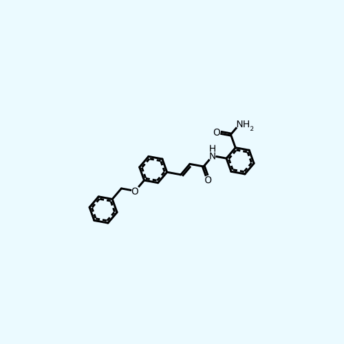 NC(=O)c1ccccc1NC(=O)/C=C/c1cccc(OCc2ccccc2)c1